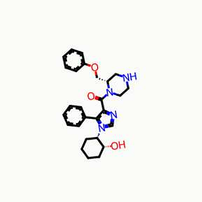 O=C(c1ncn([C@H]2CCCC[C@H]2O)c1-c1ccccc1)N1CCNC[C@H]1COc1ccccc1